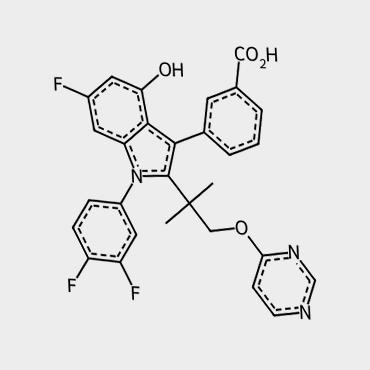 CC(C)(COc1ccncn1)c1c(-c2cccc(C(=O)O)c2)c2c(O)cc(F)cc2n1-c1ccc(F)c(F)c1